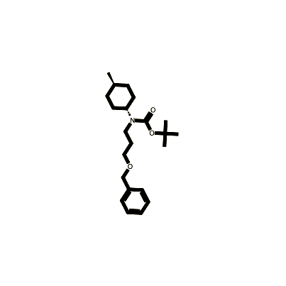 CC(C)(C)OC(=O)N(CCCOCc1ccccc1)[C@H]1CC[C@H](C)CC1